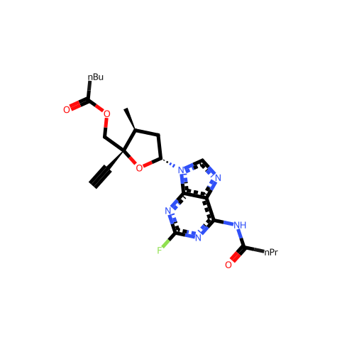 C#C[C@]1(COC(=O)CCCC)O[C@@H](n2cnc3c(NC(=O)CCC)nc(F)nc32)C[C@@H]1C